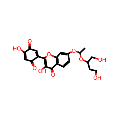 CC(Oc1ccc2c(=O)c(O)c(C3=CC(=O)C(O)=CC3=O)oc2c1)OC(CO)CCO